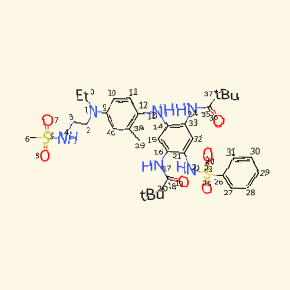 CCN(CCNS(C)(=O)=O)c1ccc(Nc2cc(NC(=O)C(C)(C)C)c(NS(=O)(=O)c3ccccc3)cc2NC(=O)C(C)(C)C)c(C)c1